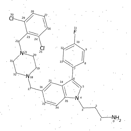 NCCCn1cc(-c2ccc(F)cc2)c2cc(CN3CCN(Cc4c(Cl)cccc4Cl)CC3)ccc21